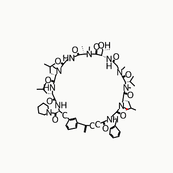 C=C1CCC(=O)N[C@@H](Cc2ccccc2)C(=O)N(C)[C@@H](CC(C)C)C(=O)N(C)[C@@H](C(C)C)C(=O)N(C)CC(=O)N[C@@H]([C@@H](C)O)C(=O)N(C)[C@@H](C)C(=O)N[C@@H](C)C(=O)N(C)[C@@H](CC(C)C)C(=O)N[C@@H](CC(C)C)C(=O)N[C@H](C(=O)N2CCCCC2)Cc2cccc1c2